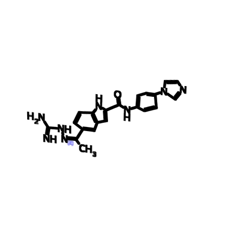 C/C(=N/NC(=N)N)c1ccc2[nH]c(C(=O)Nc3ccc(-n4ccnc4)cc3)cc2c1